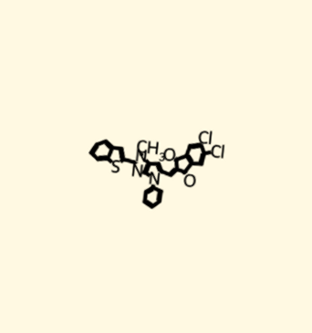 Cn1c(-c2cc3ccccc3s2)nc2c1cc(C=C1C(=O)c3cc(Cl)c(Cl)cc3C1=O)n2-c1ccccc1